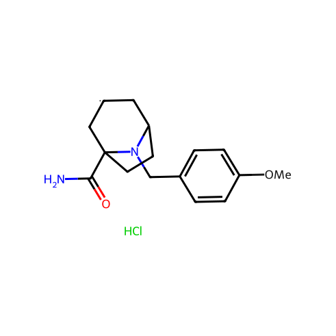 COc1ccc(CN2C3C[CH]CC2(C(N)=O)CC3)cc1.Cl